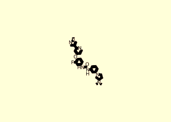 CN(C)C1CCN(c2cccc(NC(=O)Nc3ccc(Oc4ccnc(-c5cnn(C)c5)c4)c(F)c3)c2)C1